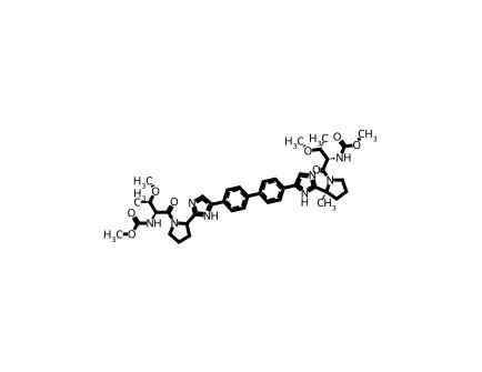 COC(=O)N[C@H](C(=O)N1CCCC1c1ncc(-c2ccc(-c3ccc(-c4cnc([C@]5(C)CCCN5C(=O)[C@@H](NC(=O)OC)[C@@H](C)OC)[nH]4)cc3)cc2)[nH]1)[C@@H](C)OC